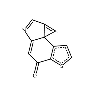 O=C1C=C2N=CC3=CC32c2ccsc21